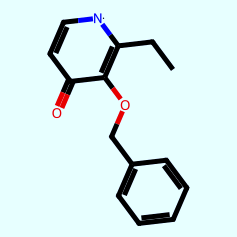 CCC1=C(OCc2ccccc2)C(=O)C=C[N]1